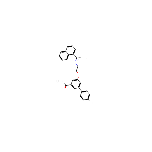 CNC(=O)c1cc(OCCN[C@H](C)c2cccc3ccccc23)cc(-c2ccc(C(F)(F)F)cc2)c1